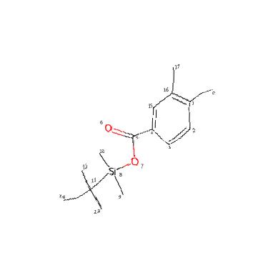 Cc1ccc(C(=O)O[Si](C)(C)C(C)(C)C)cc1C